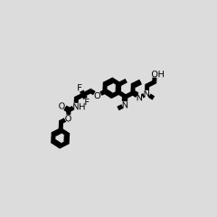 C=CC(=N\N(C)CCO)/C(=N/C)c1cc(OCC(F)(F)CNC(=O)OCc2ccccc2)ccc1C